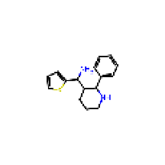 NC(c1cccs1)C1CCCNC1c1ccccc1